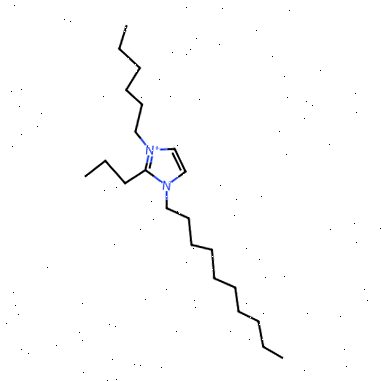 CCCCCCCCCCn1cc[n+](CCCCCC)c1CCC